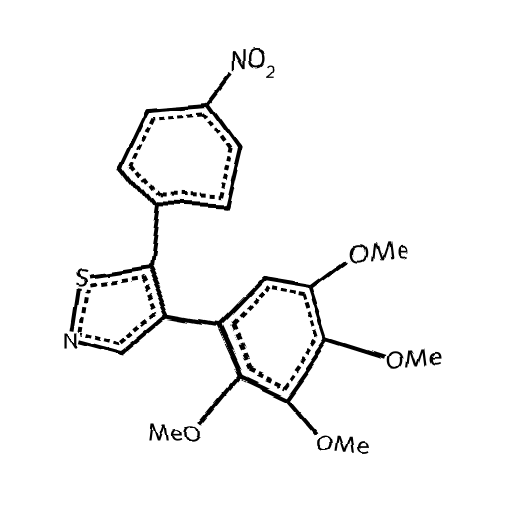 COc1cc(-c2cnsc2-c2ccc([N+](=O)[O-])cc2)c(OC)c(OC)c1OC